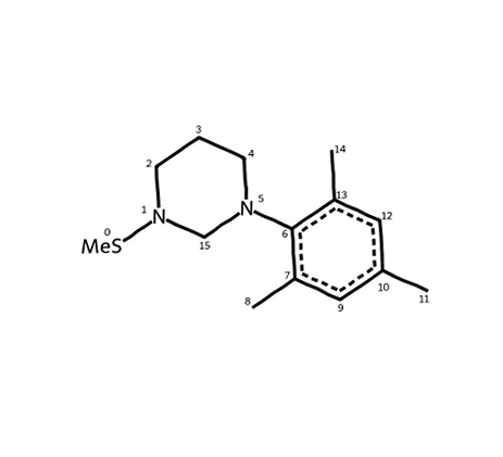 CSN1CCCN(c2c(C)cc(C)cc2C)C1